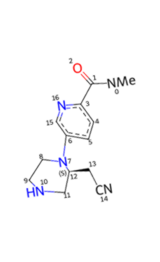 CNC(=O)c1ccc(N2CCNC[C@@H]2CC#N)cn1